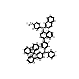 Cc1ccc(N(c2ccc3ccccc3c2)c2ccc(-c3ccc(N(c4ccccc4)c4ccc5c(c4)C(c4ccccc4)(c4ccccc4)c4ccccc4-5)cc3)c3ccccc23)cc1